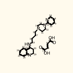 O=C(O)C=CC(=O)O.c1ccc(N2CCN(CCCCNC3=c4ccccc4=NCC3)CC2)nc1